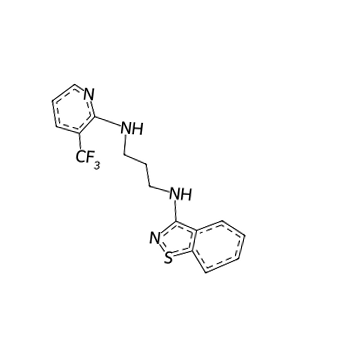 FC(F)(F)c1cccnc1NCCCNc1nsc2ccccc12